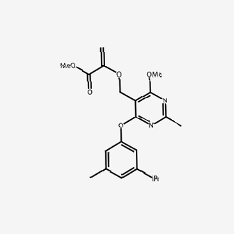 C=C(OCc1c(OC)nc(C)nc1Oc1cc(C)cc(C(C)C)c1)C(=O)OC